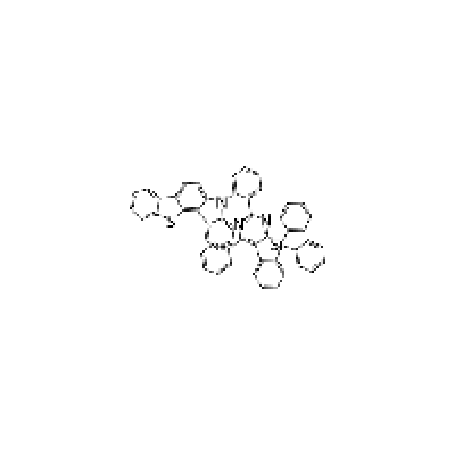 c1ccc(-c2nc(-c3ccccc3-n3c4ccccc4c4c5sc6ccccc6c5ccc43)nc3c2-c2ccccc2[Si]3(c2ccccc2)c2ccccc2)cc1